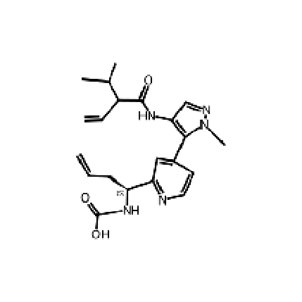 C=CC[C@H](NC(=O)O)c1cc(-c2c(NC(=O)C(C=C)C(C)C)cnn2C)ccn1